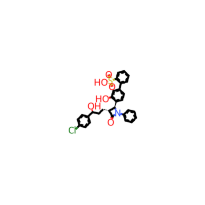 O=C1[C@H](CC[C@H](O)c2ccc(Cl)cc2)[C@@H](c2ccc(-c3ccccc3S(=O)(=O)O)cc2O)N1c1ccccc1